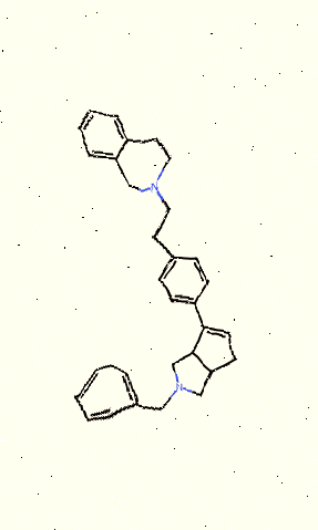 C1=C(c2ccc(CCN3CCc4ccccc4C3)cc2)C2CN(Cc3ccccc3)CC2C1